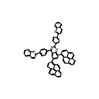 c1ccc2nc(-c3ccc(-c4nc(-c5ccc(-c6ccc7ccccc7n6)cc5)c5cc(-c6ccc7ccc8cccc9ccc6c7c89)cc(-c6ccc7ccc8cccc9ccc6c7c89)c5n4)cc3)ccc2c1